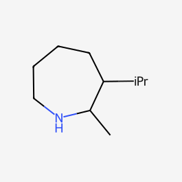 CC(C)C1CCCCNC1C